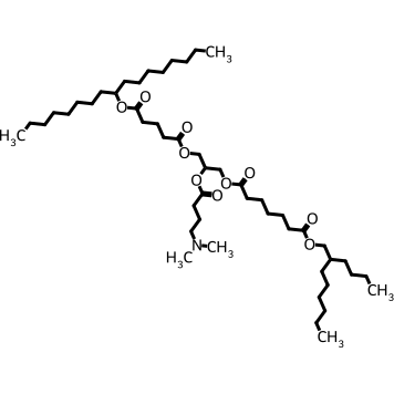 CCCCCCCCC(CCCCCCCC)OC(=O)CCCC(=O)OCC(COC(=O)CCCCCC(=O)OCC(CCCC)CCCCCC)OC(=O)CCCN(C)C